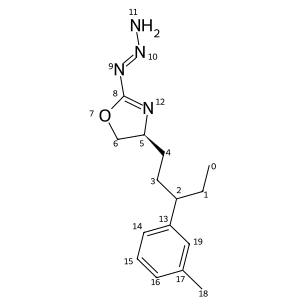 CCC(CC[C@H]1COC(N=NN)=N1)c1cccc(C)c1